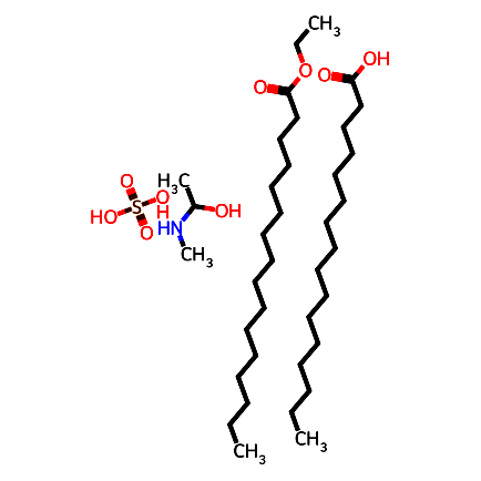 CCCCCCCCCCCCCCCC(=O)O.CCCCCCCCCCCCCCCC(=O)OCC.CNC(C)O.O=S(=O)(O)O